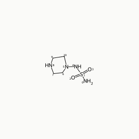 NS(=O)(=O)NN1CCNCC1